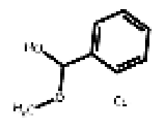 COC(O)c1ccccc1.[Cu]